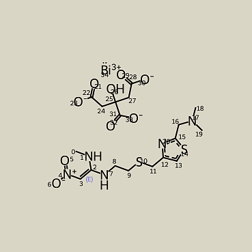 CN/C(=C\[N+](=O)[O-])NCCSCc1csc(CN(C)C)n1.O=C([O-])CC(O)(CC(=O)[O-])C(=O)[O-].[Bi+3]